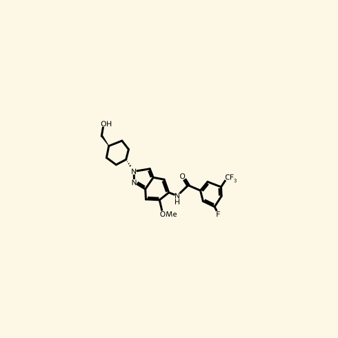 COc1cc2nn([C@H]3CC[C@H](CO)CC3)cc2cc1NC(=O)c1cc(F)cc(C(F)(F)F)c1